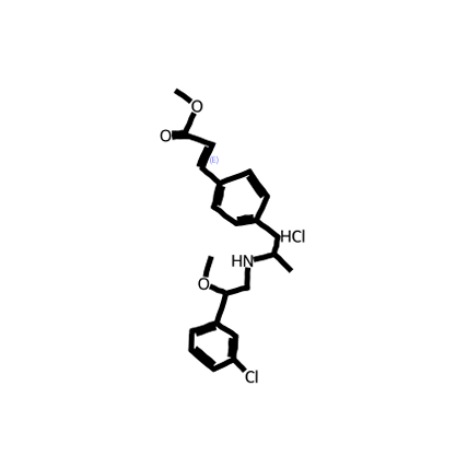 COC(=O)/C=C/c1ccc(CC(C)NCC(OC)c2cccc(Cl)c2)cc1.Cl